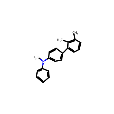 Cc1cccc(-c2ccc(N(C)c3ccccc3)cc2)c1C